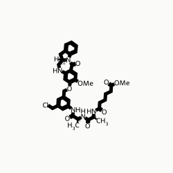 COC(=O)CCCCC(=O)N[C@@H](C)C(=O)N[C@@H](C)C(=O)Nc1cc(CCl)cc(COc2cc3c(cc2OC)C(=O)N2c4ccccc4C[C@H]2CN3)c1